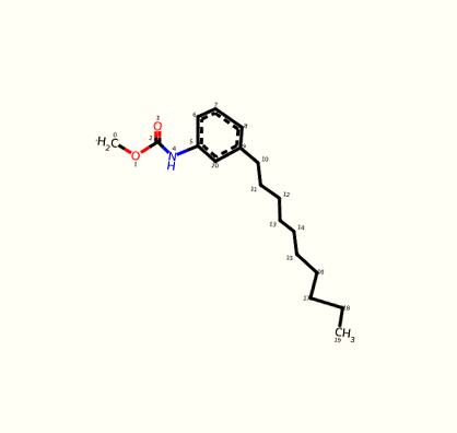 [CH2]OC(=O)Nc1cccc(CCCCCCCCCC)c1